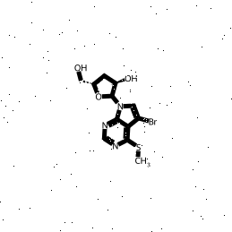 CSc1ncnc2c1c(Br)cn2C1O[C@H](CO)C[C@H]1O